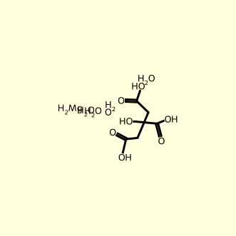 O.O.O.O.O=C(O)CC(O)(CC(=O)O)C(=O)O.[MgH2]